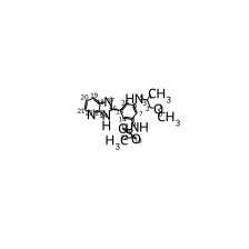 COCC(C)Nc1cc(NS(C)(=O)=O)cc(-c2nc3cccnc3[nH]2)c1